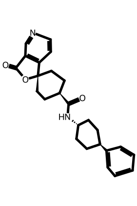 O=C1O[C@]2(CC[C@H](C(=O)N[C@H]3CC[C@H](c4ccccc4)CC3)CC2)c2ccncc21